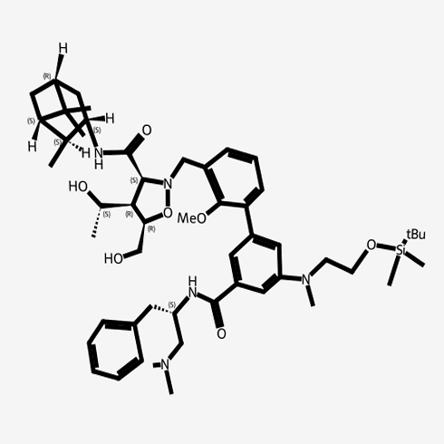 COc1c(CN2O[C@@H](CO)[C@@H]([C@H](C)O)[C@H]2C(=O)N[C@H]2C[C@H]3C[C@@H]([C@@H]2C)C3(C)C)cccc1-c1cc(C(=O)N[C@@H](Cc2ccccc2)CN(C)C)cc(N(C)CCO[Si](C)(C)C(C)(C)C)c1